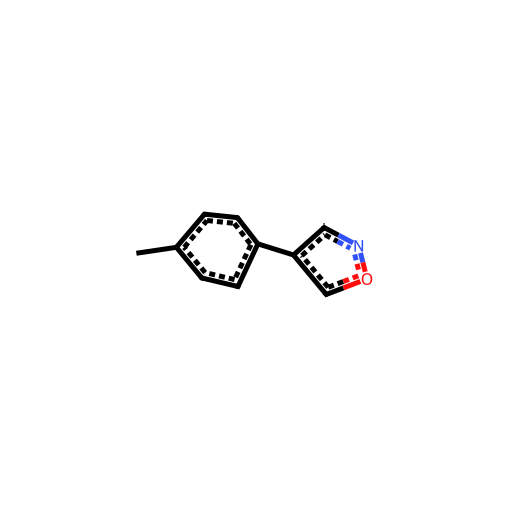 Cc1ccc(-c2[c]noc2)cc1